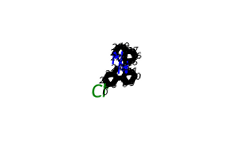 Clc1ccc2c(c1)-c1ccccc1N(c1cccc3cccnc13)C2